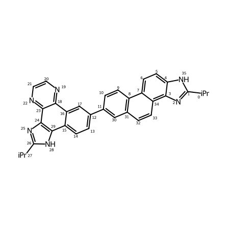 CC(C)c1nc2c(ccc3c4ccc(-c5ccc6c(c5)c5nccnc5c5nc(C(C)C)[nH]c65)cc4ccc32)[nH]1